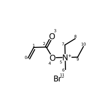 C=CC(=O)O[N+](C)(CC)CC.[Br-]